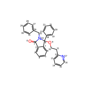 O=C1c2ccccc2C(OCCc2ccccn2)(c2ccccc2)N1Cc1ccccc1